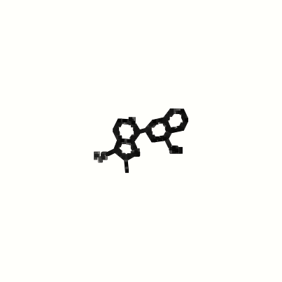 Cc1sc2c(-c3cc(C(C)(C)C)c4ccccc4c3)nccc2c1C(F)(F)F